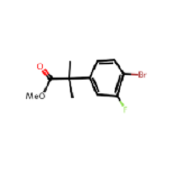 COC(=O)C(C)(C)c1ccc(Br)c(F)c1